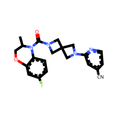 CC1COc2cc(F)ccc2N1C(=O)N1CC2(C1)CN(c1cc(C#N)ccn1)C2